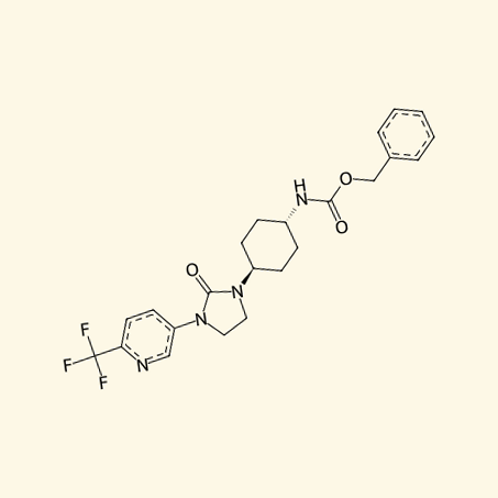 O=C(N[C@H]1CC[C@H](N2CCN(c3ccc(C(F)(F)F)nc3)C2=O)CC1)OCc1ccccc1